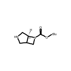 CC(C)(C)OC(=O)N1CC2CNC[C@H]21